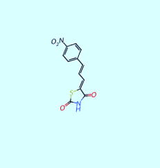 O=C1NC(=O)C(=CC=Cc2ccc([N+](=O)[O-])cc2)S1